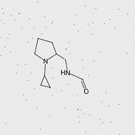 O=CNCC1CCCN1C1CC1